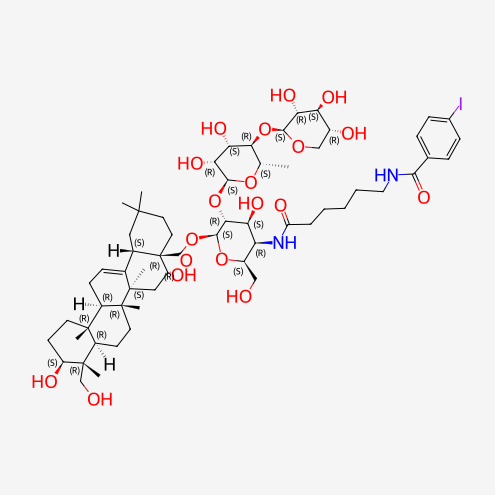 C[C@@H]1O[C@@H](O[C@H]2[C@H](OC(=O)[C@]34CCC(C)(C)C[C@H]3C3=CC[C@@H]5[C@@]6(C)CC[C@H](O)[C@@](C)(CO)[C@@H]6CC[C@@]5(C)[C@]3(C)C[C@H]4O)O[C@H](CO)[C@H](NC(=O)CCCCCNC(=O)c3ccc(I)cc3)[C@@H]2O)[C@H](O)[C@H](O)[C@H]1O[C@@H]1OC[C@@H](O)[C@H](O)[C@H]1O